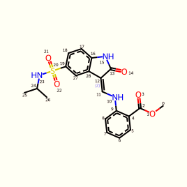 COC(=O)c1ccccc1N/C=C1\C(=O)Nc2ccc(S(=O)(=O)NC(C)C)cc21